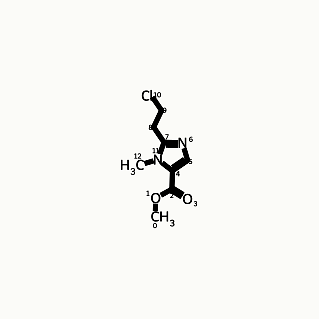 COC(=O)c1cnc(CCCl)n1C